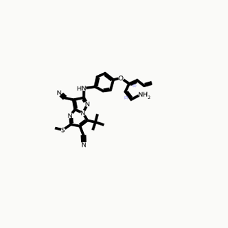 C=C/C=C(\C=C/N)Oc1ccc(Nc2nn3c(C(C)(C)C)c(C#N)c(SC)nc3c2C#N)cc1